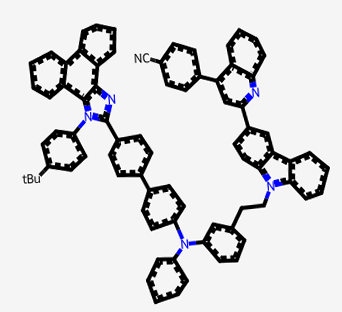 CC(C)(C)c1ccc(-n2c(-c3ccc(-c4ccc(N(c5ccccc5)c5cccc(CCn6c7ccccc7c7cc(-c8cc(-c9ccc(C#N)cc9)c9ccccc9n8)ccc76)c5)cc4)cc3)nc3c4ccccc4c4ccccc4c32)cc1